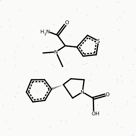 CN(C)C(C(N)=O)c1ccsc1.O=C(O)N1CC[C@@H](c2ccccc2)C1